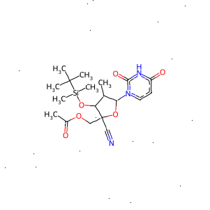 CC(=O)OCC1(C#N)OC(n2ccc(=O)[nH]c2=O)C(C)C1O[Si](C)(C)C(C)(C)C